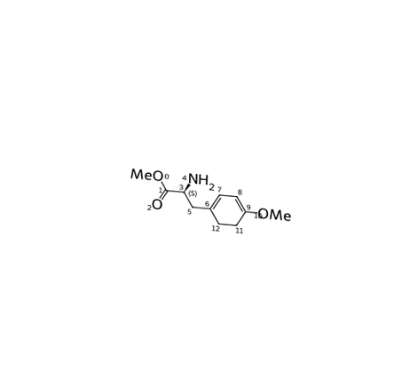 COC(=O)[C@@H](N)CC1=CC=C(OC)CC1